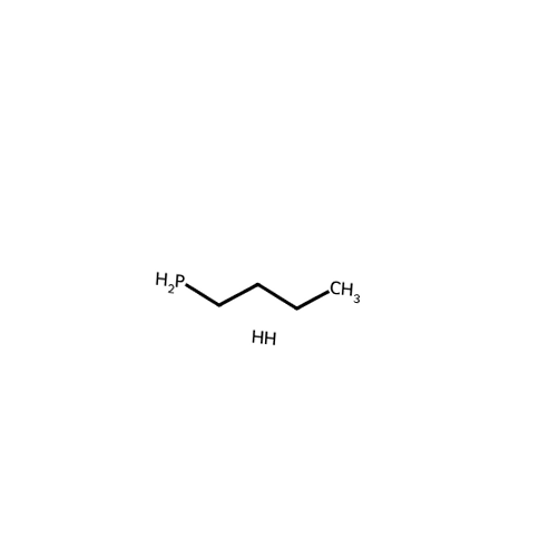 CCCCP.[HH]